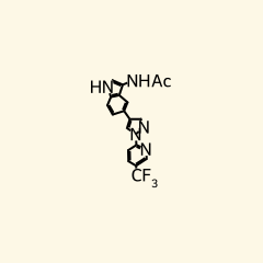 CC(=O)Nc1c[nH]c2ccc(-c3cnn(-c4ccc(C(F)(F)F)cn4)c3)cc12